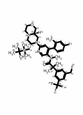 Cc1cc(F)ccc1-c1cc(N2C[C@H]3COCCN3C[C@H]2C[Si](C)(C)C(C)(C)C)ncc1N(C)C(=O)C(C)(C)c1cc(CF)cc(C(F)(F)F)c1